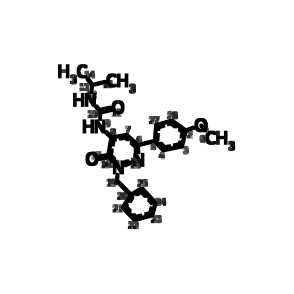 COc1ccc(-c2cc(NC(=O)NC(C)C)c(=O)n(Cc3ccccc3)n2)cc1